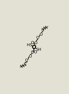 [N-]=[N+]=NCCOCCOCCOC(=O)c1cc(S)c(C(=O)OCCOCCOCCN=[N+]=[N-])cc1S